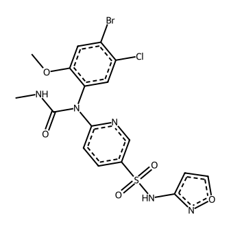 CNC(=O)N(c1ccc(S(=O)(=O)Nc2ccon2)cn1)c1cc(Cl)c(Br)cc1OC